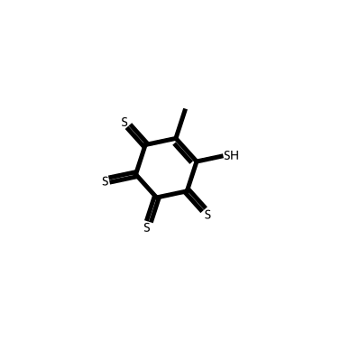 Cc1c(S)c(=S)c(=S)c(=S)c1=S